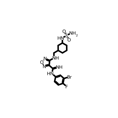 N=C(Nc1ccc(F)c(Br)c1)c1nonc1NCC1CCCC(NS(N)(=O)=O)C1